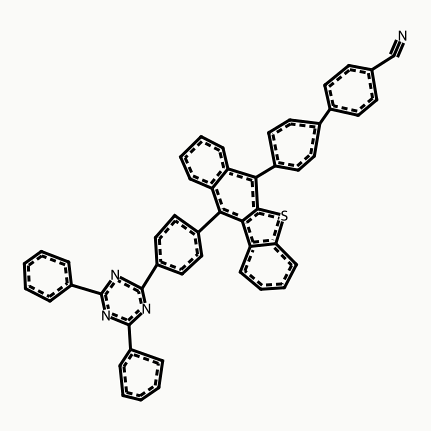 N#Cc1ccc(-c2ccc(-c3c4ccccc4c(-c4ccc(-c5nc(-c6ccccc6)nc(-c6ccccc6)n5)cc4)c4c3sc3ccccc34)cc2)cc1